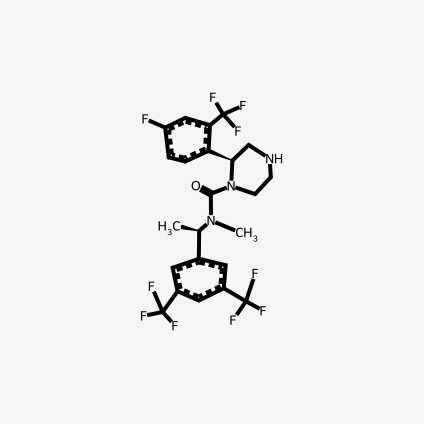 C[C@H](c1cc(C(F)(F)F)cc(C(F)(F)F)c1)N(C)C(=O)N1CCNC[C@@H]1c1ccc(F)cc1C(F)(F)F